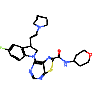 O=C(NC1CCOCC1)c1nc2c(N3CC(CCN4CCCC4)c4cc(F)ccc43)ncnc2s1